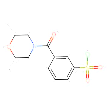 C[C@@H]1CN(C(=O)c2cccc(S(=O)(=O)Cl)c2)C[C@H](C)O1